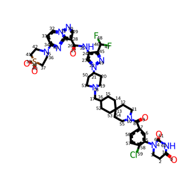 O=C1CCN(c2cc(C(=O)N3CCC4(CCC(CN5CCC(n6cc(NC(=O)c7cnn8ccc(N9CCS(=O)(=O)CC9)nc78)c(C(F)F)n6)CC5)CC4)CC3)ccc2Cl)C(=O)N1